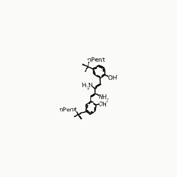 CCCCCC(C)(C)c1ccc(O)c(C=C(N)C(N)=Cc2cc(C(C)(C)CCCCC)ccc2O)c1